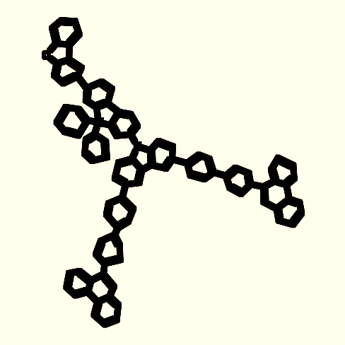 c1ccc([Si]2(c3ccccc3)c3cc(-c4ccc5oc6ccccc6c5c4)ccc3-c3ccc(-n4c5ccc(-c6ccc(-c7ccc(-c8cc9ccccc9c9ccccc89)cc7)cc6)cc5c5cc(-c6ccc(-c7ccc(-c8cc9ccccc9c9ccccc89)cc7)cc6)ccc54)cc32)cc1